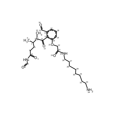 CC(CCC(=O)NC=O)N(C)C(=O)c1c(C=O)cccc1OCC(=O)NCCCCCCCCN